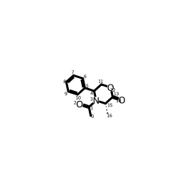 CC(=O)N1C(c2ccccc2)COC(=O)[C@@H]1C